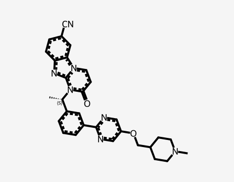 C[C@@H](c1cccc(-c2ncc(OCC3CCN(C)CC3)cn2)c1)n1c(=O)ccn2c3cc(C#N)ccc3nc12